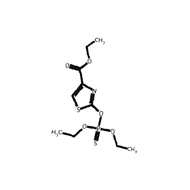 CCOC(=O)c1csc(OP(=S)(OCC)OCC)n1